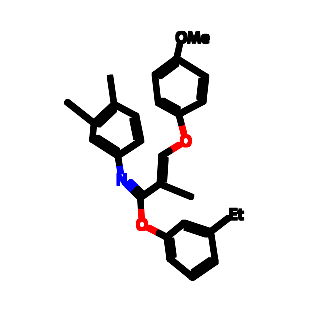 CCc1cccc(OC(=N/c2ccc(C)c(C)c2)/C(C)=C/Oc2ccc(OC)cc2)c1